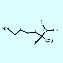 NCCCCC(F)(C(=O)O)N(F)F